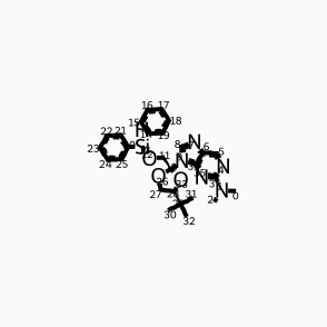 CN(C)c1ncc2ncn([C@@]3(CO[SiH](c4ccccc4)c4ccccc4)OC[C@H](C(C)(C)C)O3)c2n1